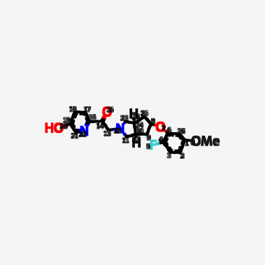 COc1ccc(F)c(OC2C[C@@H]3CN(CC(=O)c4ccc(O)cn4)C[C@@H]3C2)c1